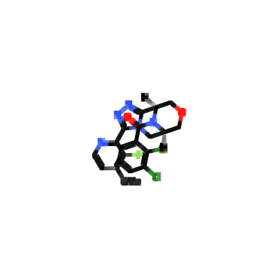 COc1ccnc(-c2nnc3n2C[C@@H]2COC[C@H]3N2C(=O)c2cccc(Cl)c2Cl)c1F